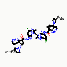 CNC1CCN(c2ccc(C(=O)Nc3cc(F)c4nc(C)c(-c5c(C)nc6c(F)cc(NC(=O)c7ccc(N8CC[C@H](NC)C8)c8ccnnc78)cn56)n4c3)c3nnccc23)C1